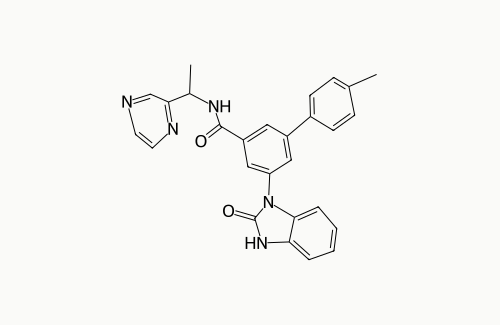 Cc1ccc(-c2cc(C(=O)NC(C)c3cnccn3)cc(-n3c(=O)[nH]c4ccccc43)c2)cc1